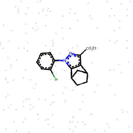 CCOC(=O)c1nn(-c2ccccc2Br)c2c1C1CCC2C1